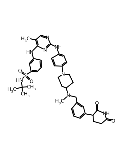 Cc1cnc(Nc2ccc(N3CCC(N(C)Cc4cccc(C5CCC(=O)NC5=O)c4)CC3)cc2)nc1Nc1cccc(S(=O)(=O)NC(C)(C)C)c1